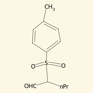 CCCC(C=O)S(=O)(=O)c1ccc(C)cc1